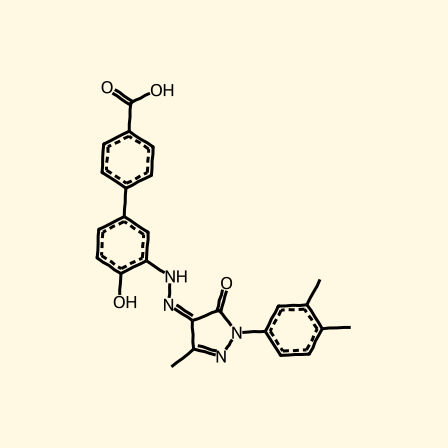 CC1=NN(c2ccc(C)c(C)c2)C(=O)C1=NNc1cc(-c2ccc(C(=O)O)cc2)ccc1O